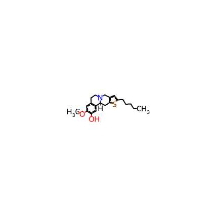 CCCCCc1cc2c(s1)C[C@H]1c3cc(O)c(OC)cc3CCN1C2